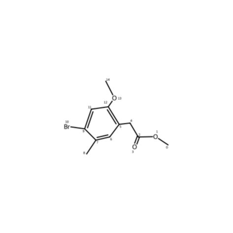 COC(=O)Cc1cc(C)c(Br)cc1OC